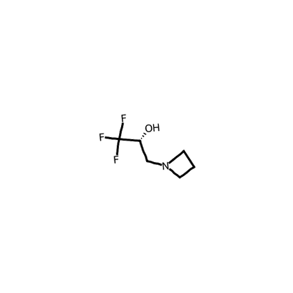 O[C@H](CN1CCC1)C(F)(F)F